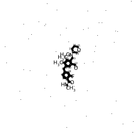 CNC(=O)c1ccc(Cc2cc(C=O)c(CN(C)C3CCCOC3)c(C)c2C)cc1F